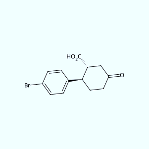 O=C1CC[C@@H](c2ccc(Br)cc2)[C@H](C(=O)O)C1